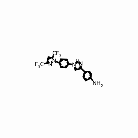 Nc1ccc(-c2cn(-c3ccc(-n4nc(C(F)(F)F)cc4C(F)(F)F)cc3)nn2)cc1